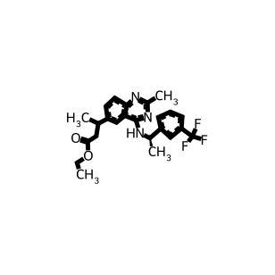 CCOC(=O)CC(C)c1ccc2nc(C)nc(N[C@H](C)c3cccc(C(F)(F)F)c3)c2c1